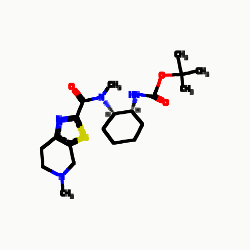 CN1CCc2nc(C(=O)N(C)[C@H]3CCCC[C@H]3NC(=O)OC(C)(C)C)sc2C1